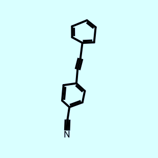 N#Cc1ccc(C#Cc2ccccc2)cc1